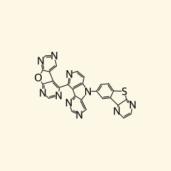 c1cc2c(c(-c3ncnc4oc5ncncc5c34)n1)c1ncncc1n2-c1ccc2sc3nccnc3c2c1